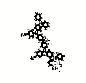 C=C/C=C\c1c(C)n(-c2ccccc2)c2ccc(N(C3=CCC(C)(c4ccc(N(C5=CC=C(C#N)CC5)c5ccc6c(c5)c5ccccc5n6C5C=CC=CC5)cc4)C=C3)c3ccc(C#N)cc3)cc12